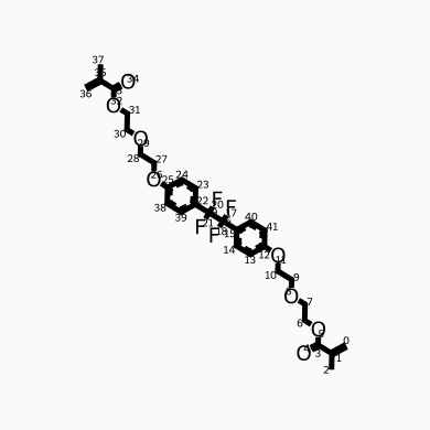 C=C(C)C(=O)OCCOCCOc1ccc(C(F)(F)C(F)(F)c2ccc(OCCOCCOC(=O)C(=C)C)cc2)cc1